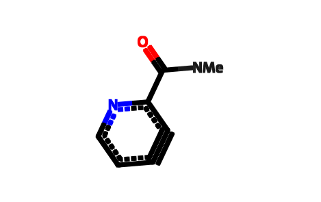 CNC(=O)c1c#cccn1